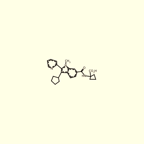 Cn1c(-c2ccccn2)c(C2CCCC2)c2ccc(C(=O)NC3(C(=O)O)CCC3)cc21